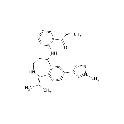 COC(=O)c1ccccc1NC1CCN/C(=C(/C)N)c2ccc(-c3cnn(C)c3)cc21